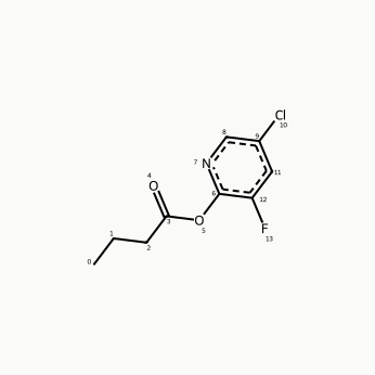 CCCC(=O)Oc1ncc(Cl)cc1F